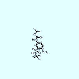 CC(C)OC(=O)Nc1ccc(N)c(S(=O)(=O)NC(C)(C)C)c1